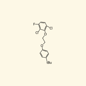 CC(C)(C)c1ccc(OCCOc2c(Cl)ccc(F)c2Cl)cc1